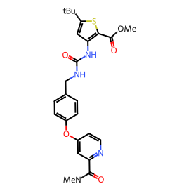 CNC(=O)c1cc(Oc2ccc(CNC(=O)Nc3cc(C(C)(C)C)sc3C(=O)OC)cc2)ccn1